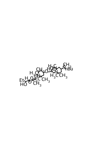 CCCCN(C)C1CC(C)(C)N(CC(O)COC2CC(C)(C)N(OCC(C)(C)OCC(O)CC)C(C)(C)C2)C(C)(C)C1